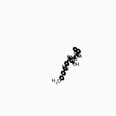 CC[C@H]1CC[C@H](C2CC=C(c3cnc(-c4ccc(CN(CC(=O)O)C(=O)CNC(=O)CNS(=O)(=O)c5cccc6ccccc56)cc4)nc3)CC2)CC1